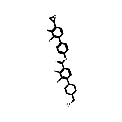 CCC1CCC(c2ccc(C(=O)Oc3ccc(-c4ccc(C5CO5)c(F)c4F)cc3)c(F)c2F)CC1